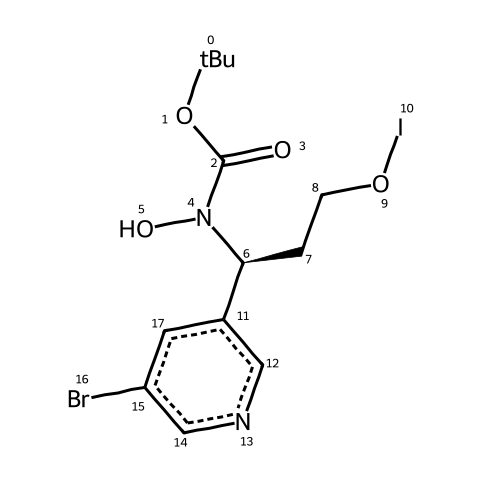 CC(C)(C)OC(=O)N(O)[C@@H](CCOI)c1cncc(Br)c1